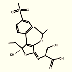 CC[C@]1(C)O/C(=N/[C@@H](CO)C(=O)O)C(OC(C)C)=C1c1ccc(S(C)(=O)=O)cc1.[KH]